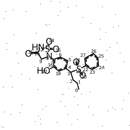 CCCC(c1ccc(N2CC(=O)NS2(=O)=O)c(O)c1)S(=O)(=O)c1ccccc1